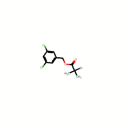 CCC(C)(C)C(=O)OCc1cc(Cl)cc(Cl)c1